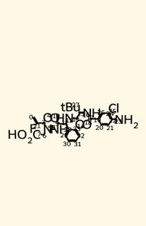 C=C(F)C(=O)N(CC(=O)O)NC(=O)C(NC(=O)C(NC(=O)c1ccc(N)c(Cl)c1)C(C)(C)C)c1ccccc1